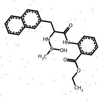 CCOC(=O)c1ccccc1NC(=O)C(Cc1ccc2ccccc2c1)NB(C)O